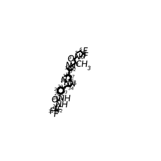 CC(C(=O)N1CCC(F)(F)C1)n1cc(-c2cnn3c(-c4cccc(NC(=O)NCC(F)(F)F)c4)cnc3c2)cn1